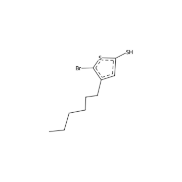 CCCCCCc1cc(S)sc1Br